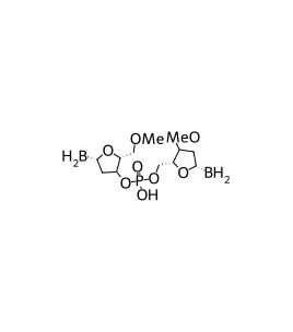 B[C@H]1CC(OC)[C@@H](COP(=O)(O)OC2C[C@H](B)O[C@@H]2COC)O1